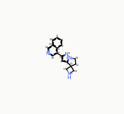 c1ccc2c(-c3cc4n(n3)CCC43CNC3)cncc2c1